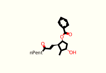 CCCCCC(=O)/C=C/[C@@H]1C(C)[C@@H](O)C[C@H]1OC(=O)c1ccccc1